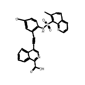 Cc1ccc2cccnc2c1S(=O)(=O)Nc1ccc(Cl)cc1C#Cc1cnc(C(=O)O)c2ccccc12